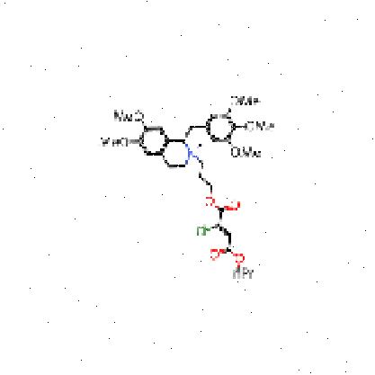 CCCOC(=O)/C=C(\Cl)C(=O)OCCC[N@+]1(C)CCc2cc(OC)c(OC)cc2[C@H]1Cc1cc(OC)c(OC)c(OC)c1